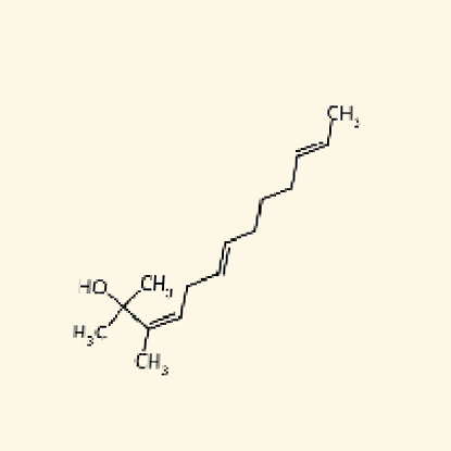 CC=CCCCC=CCC=C(C)C(C)(C)O